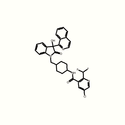 O=C(NC1CCC(CN2C(=O)C(O)(c3nccc4ccccc34)c3ccccc32)CC1)c1cc(Cl)cnc1C(F)F